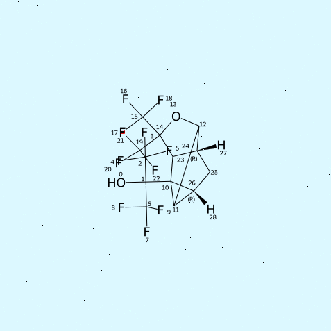 OC(C(F)(F)F)(C(F)(F)F)C12C3C4OC(C(F)(F)F)(C(F)(F)F)C1[C@H]4C[C@H]32